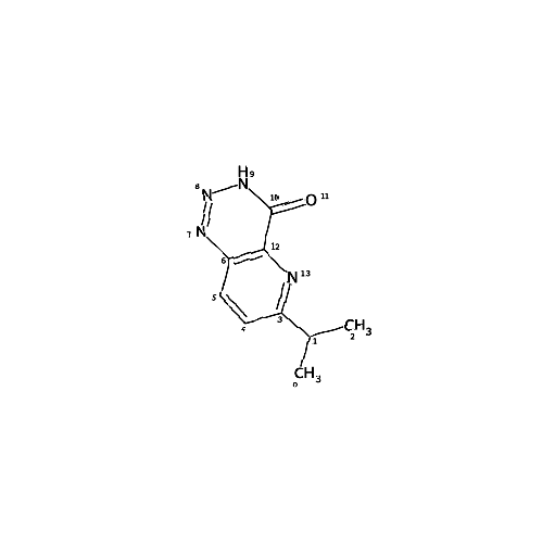 CC(C)c1ccc2nn[nH]c(=O)c2n1